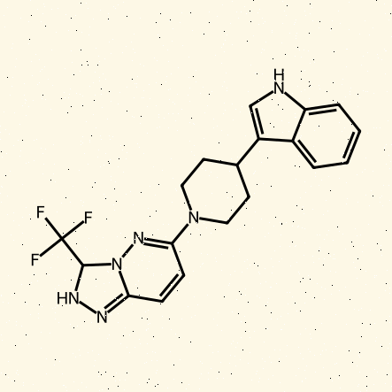 FC(F)(F)C1NN=C2C=CC(N3CCC(c4c[nH]c5ccccc45)CC3)=NN21